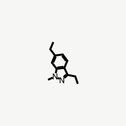 CCc1ccc2c(CC)nn(C)c2c1